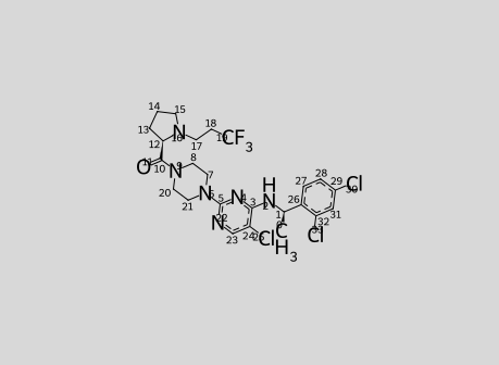 C[C@@H](Nc1nc(N2CCN(C(=O)[C@H]3CCCN3CCC(F)(F)F)CC2)ncc1Cl)c1ccc(Cl)cc1Cl